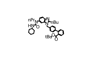 CCCCc1nc2ccc(N(CCC)C(=O)NC3CCCCC3)cc2n1Cc1ccc(-c2ccccc2C(=O)OC(C)(C)C)cc1